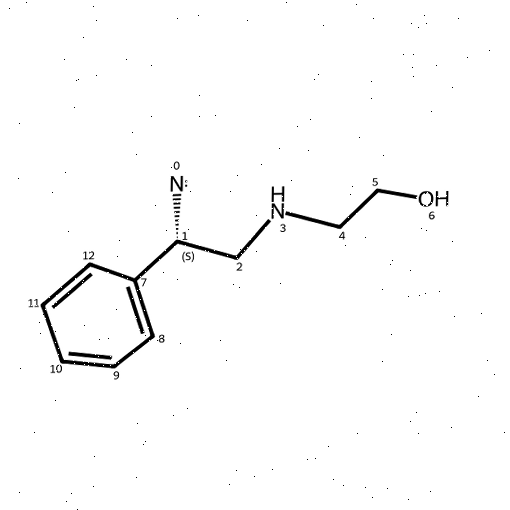 [N][C@H](CNCCO)c1ccccc1